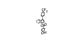 O=C(Oc1ccc(-c2ccc(C(F)(F)F)cc2)c2c1C1CCC2C1)c1ccc(O)cc1